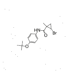 CC(C)(C)Oc1ccc(NC(=O)C2(C)CC2Br)cc1